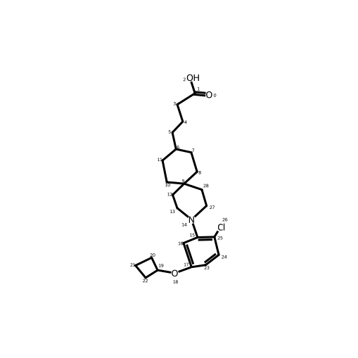 O=C(O)CCCC1CCC2(CC1)CCN(c1cc(OC3CCC3)ccc1Cl)CC2